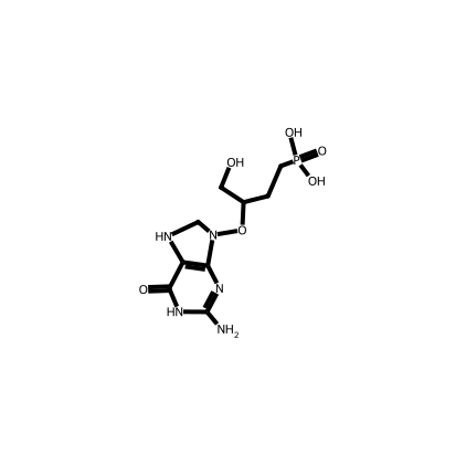 Nc1nc2c(c(=O)[nH]1)NCN2OC(CO)CCP(=O)(O)O